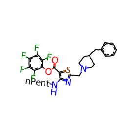 CCCCCNc1nc(CN2CCC(Cc3ccccc3)CC2)sc1C(=O)Oc1c(F)c(F)c(F)c(F)c1F